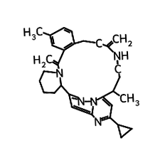 C=C1CCc2ccc(C)cc2C(=C)N2CCCCC2c2cc3nc(C4CC4)cc(n3n2)C(C)CCN1